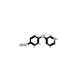 O=[C]c1ccc(Oc2cccnc2)cc1